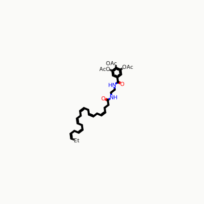 CC/C=C\C/C=C\C/C=C\C/C=C\C/C=C\C/C=C\CCC(=O)NCCNC(=O)c1cc(OC(C)=O)c(OC(C)=O)c(OC(C)=O)c1